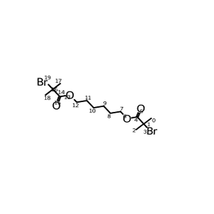 CC(C)(Br)C(=O)OCCCCCCOC(=O)C(C)(C)Br